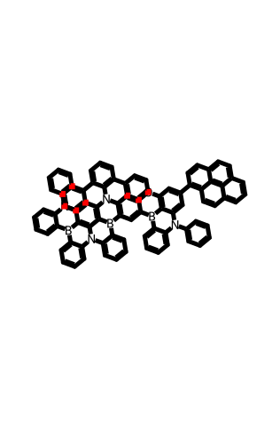 c1ccc(-c2cccc(-c3ccccc3)c2N2c3cc4c(cc3B3c5ccccc5N5c6ccccc6B6c7ccccc7N(c7ccccc7)c7cc2c3c5c76)B2c3ccccc3N(c3ccccc3)c3cc(-c5ccc6ccc7cccc8ccc5c6c78)cc(c32)O4)cc1